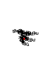 CC(C)(C)OOC(C)(C)C=C(CC(C)(CCC(C)(C)OOC(C)(C)C)OOC(C)(C)C)C(C)(C)OOC(C)(C)C